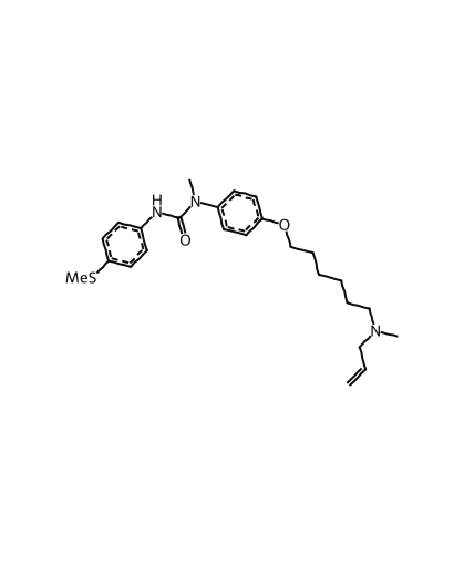 C=CCN(C)CCCCCCOc1ccc(N(C)C(=O)Nc2ccc(SC)cc2)cc1